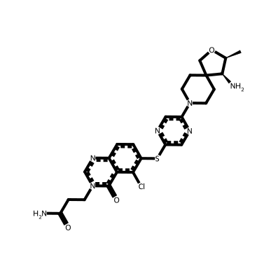 C[C@@H]1OCC2(CCN(c3cnc(Sc4ccc5ncn(CCC(N)=O)c(=O)c5c4Cl)cn3)CC2)[C@@H]1N